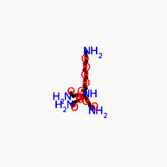 NCCOCCOCCOCCOCCC(=O)NC(COCCC(N)=O)(COCCC(N)=O)COCCC(N)=O